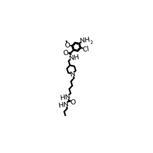 CCCNC(=O)NCCCCCN1CCC(CNC(=O)c2cc(Cl)c(N)cc2OC)CC1